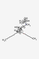 CCCCCCCCCCCCCCCC(=O)OC(OC(=O)CCCCCCCCCCCCCCC)C(C)C(C)(CC(=O)O)CC(=O)OCOC(=O)CC/C(C)=C/Cc1c(O)c2c(c(C)c1OC)COC2=O